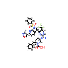 Cc1nocc1-c1ccc2c(-c3nc(N[C@H]4CC[C@@](C)(Cc5ccccc5)N(C(=O)O)C4)ncc3C(F)(F)F)cn(S(=O)(=O)c3ccccc3)c2n1